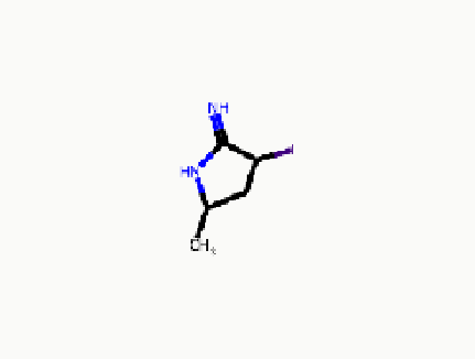 CC1CC(I)C(=N)N1